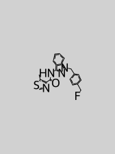 Cc1scnc1C(=O)Nc1nn(Cc2ccc(CF)cc2)c2ccccc12